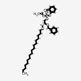 CCCCCCCCCCCCCCCCCCOC[C@H](COP(=O)(OOC)Oc1ccccc1Cl)OCc1ccccc1